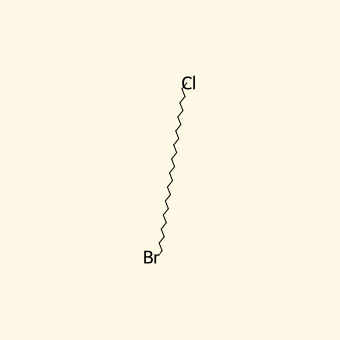 ClCCCCCCCCCCCCCCCCCCCCCCCCBr